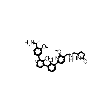 COc1cc(-c2nccc(-c3cccc(-c4ccc(CNCC5CCC(=O)N5)c(OC)n4)c3Cl)c2Cl)ccc1[C@@H](C)N